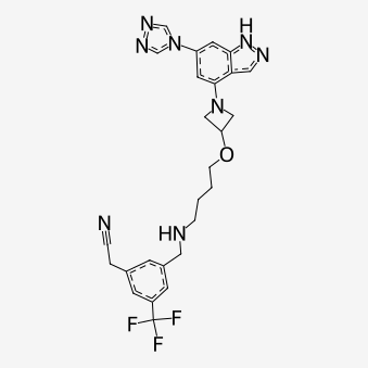 N#CCc1cc(CNCCCCOC2CN(c3cc(-n4cnnc4)cc4[nH]ncc34)C2)cc(C(F)(F)F)c1